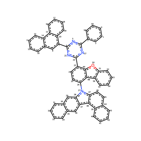 c1ccc(-c2nc(-c3cc4ccccc4c4ccccc34)nc(-c3ccc(-n4c5cc6ccccc6cc5c5c6ccccc6ccc54)c4c3oc3ccccc34)n2)cc1